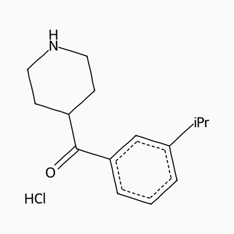 CC(C)c1cccc(C(=O)C2CCNCC2)c1.Cl